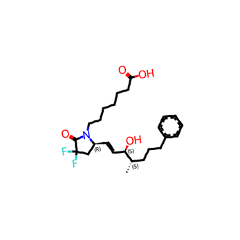 C[C@@H](CCCc1ccccc1)[C@H](O)C=C[C@H]1CC(F)(F)C(=O)N1CCCCCCC(=O)O